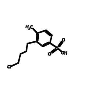 Cc1ccc(S(=O)(=O)O)cc1CCCCCl